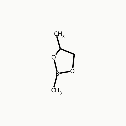 CB1OCC(C)O1